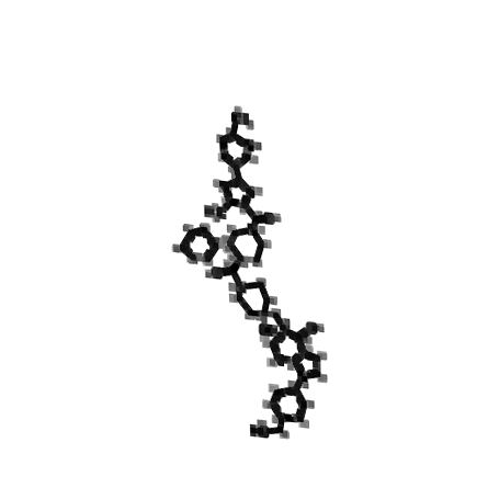 Cc1ccc(-c2nc(C)c(C(=O)N3CC[C@@H](C(=O)N4CCC(O)(Cn5cnc6c(ccn6-c6ccc(CO)cc6)c5=O)CC4)[C@H](c4ccccc4)C3)s2)cn1